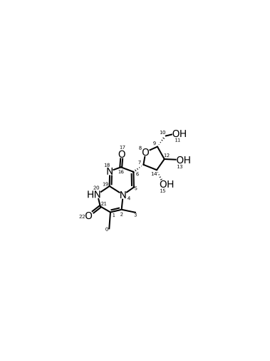 Cc1c(C)n2cc([C@@H]3O[C@H](CO)C(O)[C@@H]3O)c(=O)nc2[nH]c1=O